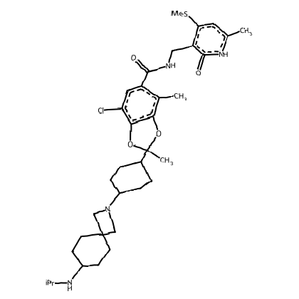 CSc1cc(C)[nH]c(=O)c1CNC(=O)c1cc(Cl)c2c(c1C)OC(C)(C1CCC(N3CC4(CCC(NC(C)C)CC4)C3)CC1)O2